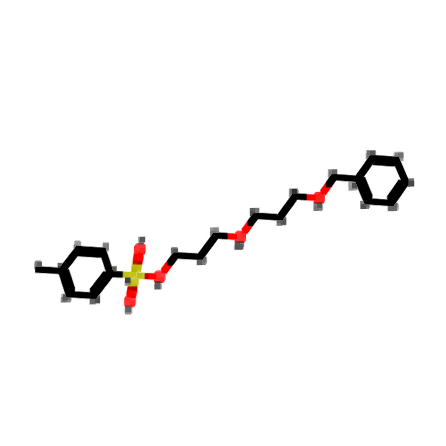 Cc1ccc(S(=O)(=O)OCCCOCCCOCc2ccccc2)cc1